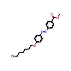 COC(=O)c1ccc(/N=N/c2ccc(OCCCCCCCl)cc2)cc1